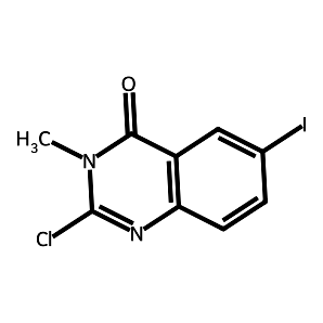 Cn1c(Cl)nc2ccc(I)cc2c1=O